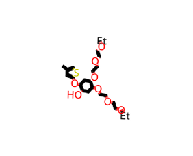 CCOCCOCCOC1CC(O)C(Oc2cc(C)cs2)CC1OCCOCCOCC